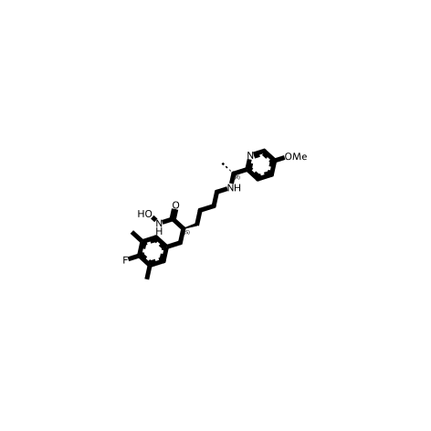 COc1ccc([C@@H](C)NCCCC[C@@H](Cc2cc(C)c(F)c(C)c2)C(=O)NO)nc1